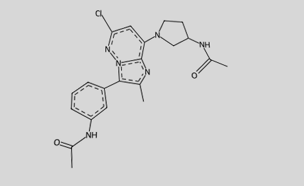 CC(=O)Nc1cccc(-c2c(C)nc3c(N4CCC(NC(C)=O)C4)cc(Cl)nn23)c1